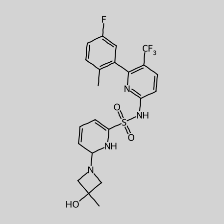 Cc1ccc(F)cc1-c1nc(NS(=O)(=O)C2=CC=CC(N3CC(C)(O)C3)N2)ccc1C(F)(F)F